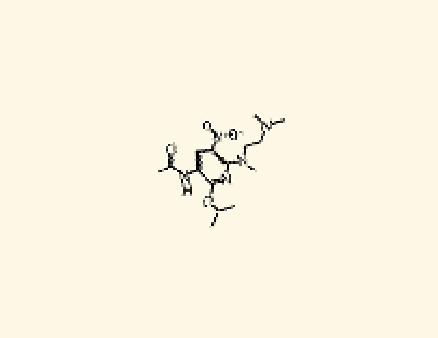 CC(=O)Nc1cc([N+](=O)[O-])c(N(C)CCN(C)C)nc1OC(C)C